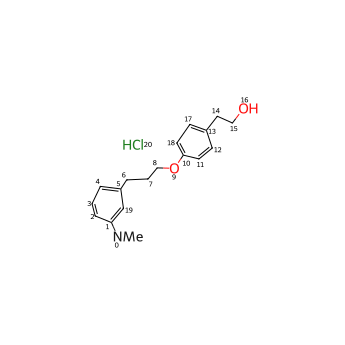 CNc1cccc(CCCOc2ccc(CCO)cc2)c1.Cl